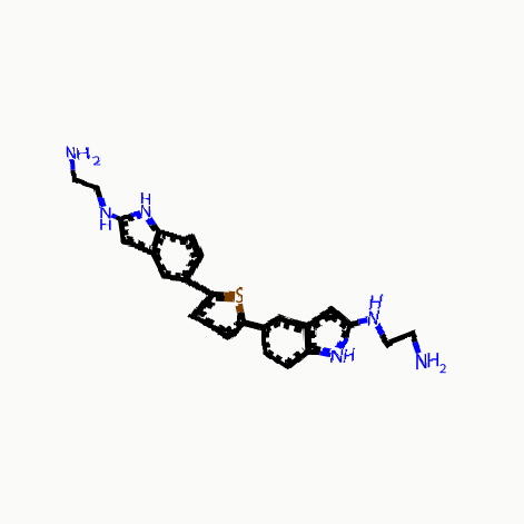 NCCNc1cc2cc(-c3ccc(-c4ccc5[nH]c(NCCN)cc5c4)s3)ccc2[nH]1